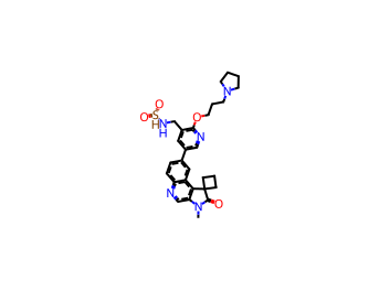 CN1C(=O)C2(CCC2)c2c1cnc1ccc(-c3cnc(OCCCN4CCCC4)c(CN[SH](=O)=O)c3)cc21